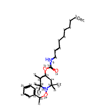 CCCCCCCCCCCCCCCCCCNC(=O)OC1CC(C)(CC)N(OC(C)c2ccccc2)C(C)(CC)C1C